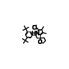 Cc1c(Cl)[nH]c(C2(CCc3cc(C(C)(C)C)cc(C(C)(C)C)c3)CCCO2)c1C